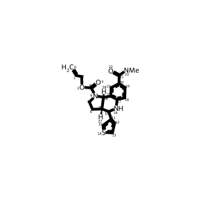 C=CCOC(=O)N1CC[C@H]2C(c3ccsc3)Nc3ccc(C(=O)NC)cc3[C@H]21